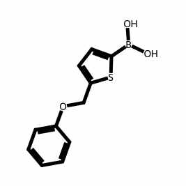 OB(O)c1ccc(COc2ccccc2)s1